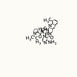 Cc1cccc2cc(CNC(=O)c3nccnc3N)c(N(C)CCN(C)C(=O)[C@@H]3CCCN3C(C)C)nc12